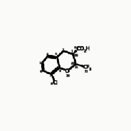 O=C(O)[C@@H]1Cc2cccc(Cl)c2O[C@@H]1C(F)(F)F